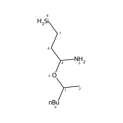 CCCCC(C)OC(N)CC[SiH3]